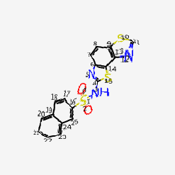 O=S(=O)(Nc1nc2ccc3scnc3c2s1)c1ccc2ccccc2c1